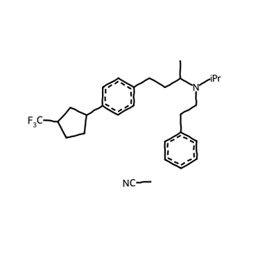 CC#N.CC(C)N(CCc1ccccc1)C(C)CCc1ccc(C2CCC(C(F)(F)F)C2)cc1